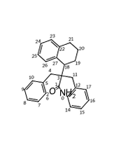 NC(=O)C(Cc1ccccc1)(Cc1ccccc1)C1CCCc2ccccc21